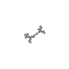 c1ccc(-c2cc(-c3ccc(-c4ccc5c(ccc6cc(N(c7ccc8c(c7)-c7ccccc7C8(c7ccccc7)c7ccccc7)c7ccc8c(ccc9ccccc98)c7)ccc65)c4)cc3)ccc2N(c2ccc3c(ccc4ccccc43)c2)c2ccc3c(ccc4ccccc43)c2)cc1